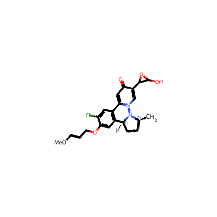 COCCCOc1cc2c(cc1Cl)-c1cc(=O)c(C3OC3O)cn1N1[C@@H](C)CC[C@@H]21